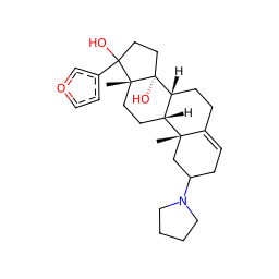 C[C@]12CC(N3CCCC3)CC=C1CC[C@@H]1[C@H]2CC[C@]2(C)C(O)(c3ccoc3)CC[C@@]12O